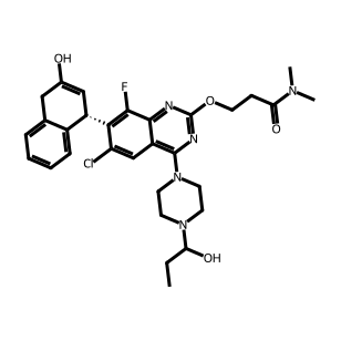 CCC(O)N1CCN(c2nc(OCCC(=O)N(C)C)nc3c(F)c([C@H]4C=C(O)Cc5ccccc54)c(Cl)cc23)CC1